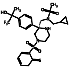 CC(O)(c1ccc([C@]2(CN(CC3CC3)S(C)(=O)=O)CN(S(=O)(=O)C3=CC=CCC3=S)CCN2)cc1)C(F)(F)F